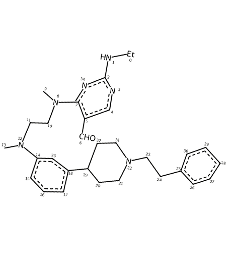 CCNc1ncc(C=O)c(N(C)CCN(C)c2cccc(C3CCN(CCc4ccccc4)CC3)c2)n1